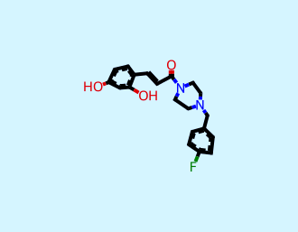 O=C(/C=C/c1ccc(O)cc1O)N1CCN(Cc2ccc(F)cc2)CC1